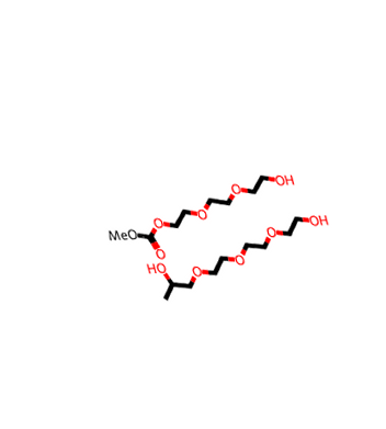 CC(O)COCCOCCOCCO.COC(=O)OCCOCCOCCO